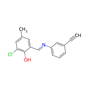 C#Cc1cccc(/N=C/c2cc(C)cc(Cl)c2O)c1